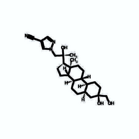 C[C@]12CC[C@H]3[C@@H](CC[C@@H]4C[C@@](O)(CO)CC[C@@H]43)[C@@H]1CC[C@@H]2[C@](C)(O)Cn1cc(C#N)cn1